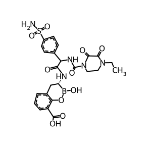 CCN1CCN(C(=O)NC(C(=O)N[C@H]2Cc3cccc(C(=O)O)c3OB2O)c2ccc(S(N)(=O)=O)cc2)C(=O)C1=O